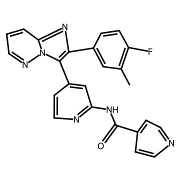 Cc1cc(-c2nc3cccnn3c2-c2ccnc(NC(=O)c3ccncc3)c2)ccc1F